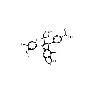 CCC(O)(COC)c1c(-c2ccc(C(=O)O)cc2)c2c(F)c3[nH]ncc3cc2n1-c1ccc(F)c(OC)c1